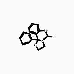 [N]C1Nc2ccccc2C2(c3ccccc3)OCCN12